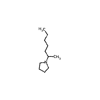 CCCCCC(C)N1CCCC1